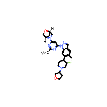 COc1nc(N2C[C@H]3C[C@@H]2CO3)cc(-n2ncc3cc(C)c(C4CCN(C5CCOC5)CC4F)cc32)n1